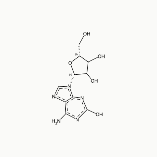 Nc1nc(O)nc2c1ncn2[C@@H]1O[C@H](CO)C(O)C1O